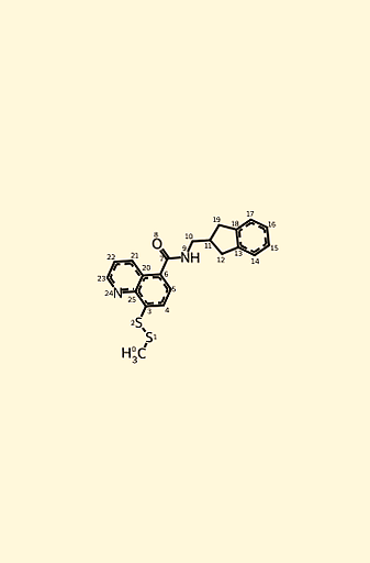 CSSc1ccc(C(=O)NCC2Cc3ccccc3C2)c2cccnc12